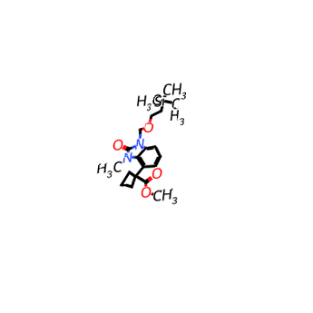 COC(=O)C1(c2cccc3c2n(C)c(=O)n3COCC[Si](C)(C)C)CCC1